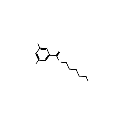 CCCCCCOC(=O)c1cc(O)cc(O)c1